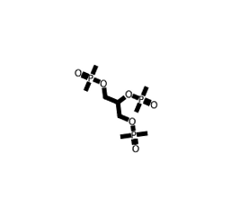 CP(C)(=O)OCC(COP(C)(C)=O)OP(C)(C)=O